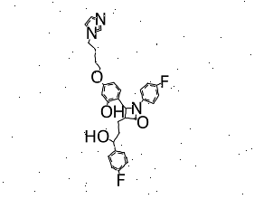 O=C1C(CCC(O)c2ccc(F)cc2)C(c2ccc(OCCCCn3ccnc3)cc2O)N1c1ccc(F)cc1